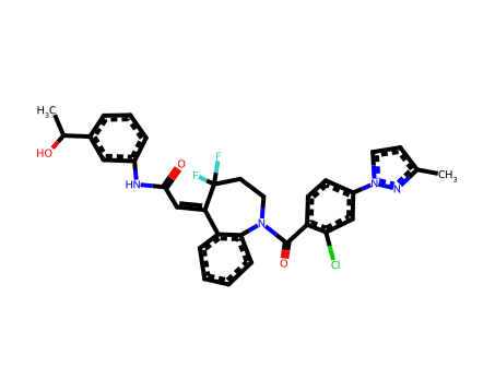 Cc1ccn(-c2ccc(C(=O)N3CCC(F)(F)/C(=C\C(=O)Nc4cccc(C(C)O)c4)c4ccccc43)c(Cl)c2)n1